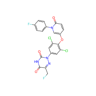 O=c1[nH]c(=O)n(-c2cc(Cl)c(Oc3ccc(=O)n(-c4ccc(F)cc4)c3)c(Cl)c2)nc1CF